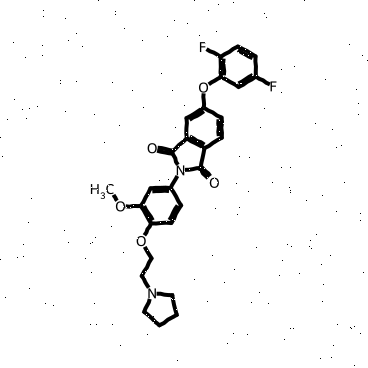 COc1cc(N2C(=O)c3ccc(Oc4cc(F)ccc4F)cc3C2=O)ccc1OCCN1CCCC1